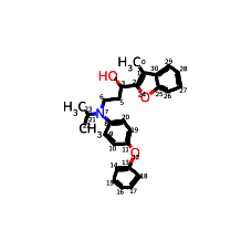 Cc1c(C(O)CCN(c2ccc(Oc3ccccc3)cc2)C(C)C)oc2ccccc12